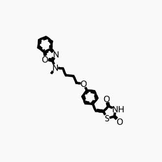 CN(CCCCOc1ccc(/C=C2/SC(=O)NC2=O)cc1)c1nc2ccccc2o1